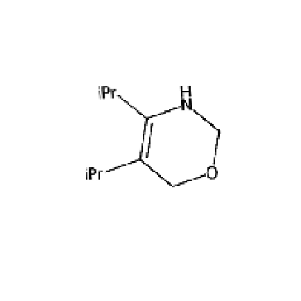 CC(C)C1=C(C(C)C)NCOC1